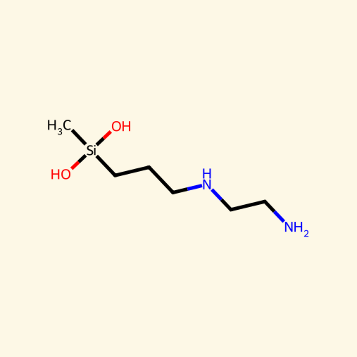 C[Si](O)(O)CCCNCCN